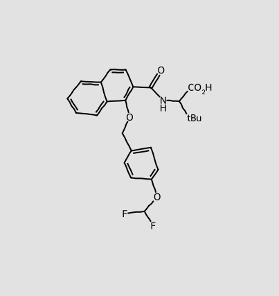 CC(C)(C)C(NC(=O)c1ccc2ccccc2c1OCc1ccc(OC(F)F)cc1)C(=O)O